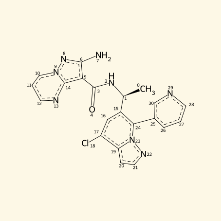 C[C@H](NC(=O)c1c(N)nn2cccnc12)c1cc(Cl)c2ccnn2c1-c1cccnc1